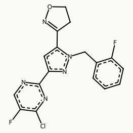 Fc1ccccc1Cn1nc(-c2ncc(F)c(Cl)n2)cc1C1=NOCC1